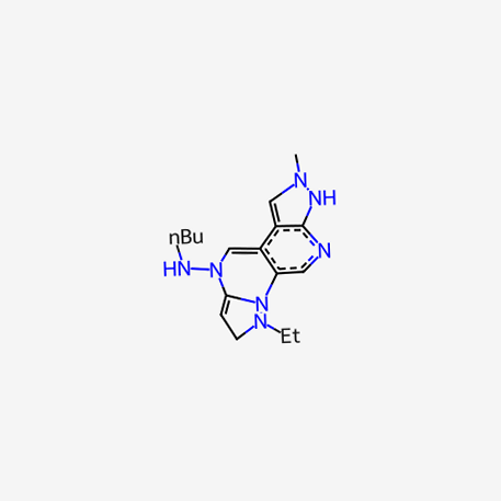 CCCCNN1C=c2c(cnc3c2=CN(C)N3)N2C1=CCN2CC